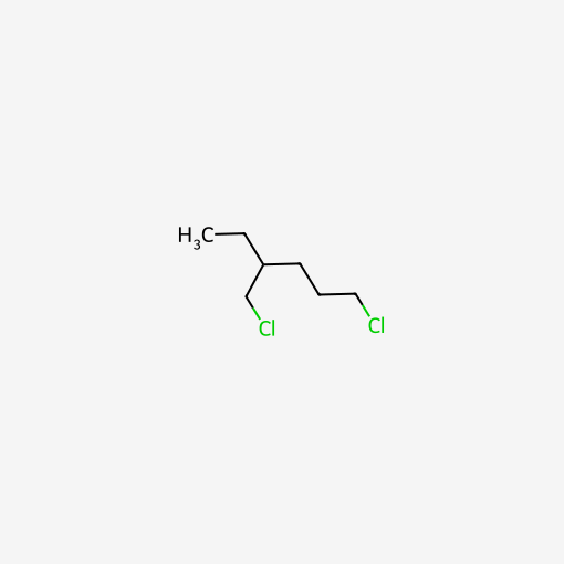 CCC(CCl)CCCCl